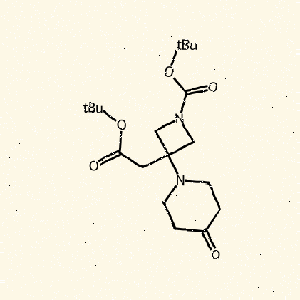 CC(C)(C)OC(=O)CC1(N2CCC(=O)CC2)CN(C(=O)OC(C)(C)C)C1